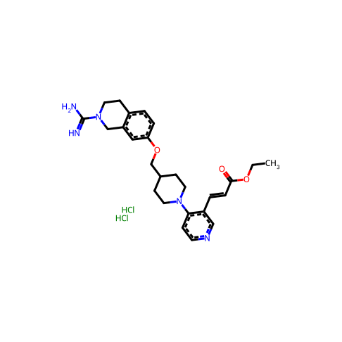 CCOC(=O)C=Cc1cnccc1N1CCC(COc2ccc3c(c2)CN(C(=N)N)CC3)CC1.Cl.Cl